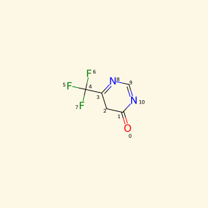 O=C1CC(C(F)(F)F)=NC=N1